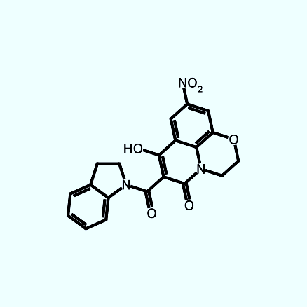 O=C(c1c(O)c2cc([N+](=O)[O-])cc3c2n(c1=O)CCO3)N1CCc2ccccc21